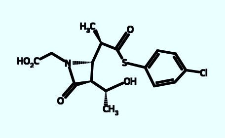 C[C@@H](O)[C@H]1C(=O)N(CC(=O)O)[C@@H]1[C@@H](C)C(=O)Sc1ccc(Cl)cc1